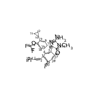 CC(C)C#Cc1cc([C@@]2(C3C=C(C4CC4)C(OC(F)F)=CC3)N=C(N)N(C)C2=O)ccc1F